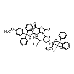 CCC(O[Si](c1ccccc1)(c1ccccc1)C(C)(C)C)[C@@H]1C[C@@H](C(C)O)[C@H](n2c(=O)sc3c(=O)[nH]c(NC(c4ccccc4)(c4ccccc4)c4ccc(OC)cc4)nc32)O1